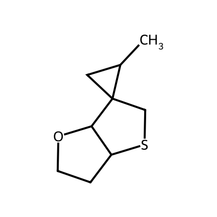 CC1CC12CSC1CCOC12